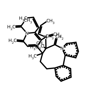 C=C(C)N(C(=C)/C=C(\C)C1(C)CCc2ccccc2-c2cccc[n+]2C(=C)C1(C)[N+](=C)/C=C\C)C(/C=C\C)=C(C)C